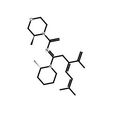 C=C(C)/C(=C\C=C(C)C)C/C(=N\C(=C)N1CCOC[C@@H]1C)N1CCCC[C@@H]1C